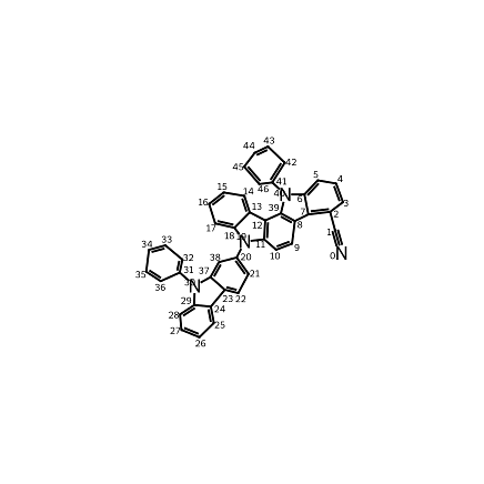 N#Cc1cccc2c1c1ccc3c(c4ccccc4n3-c3ccc4c5ccccc5n(-c5ccccc5)c4c3)c1n2-c1ccccc1